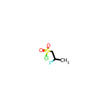 CC(F)CS(=O)(=O)Cl